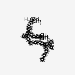 CC(C)(C)c1ccc(-c2ccc3cc4c5cc6c7ccccc7n(-c7ccc(-c8cccc(-c9ccc(-c%10ccc%11cc%12c%13cc%14c%15ccccc%15n(-c%15ccccc%15)c%14c%14c%15cc%16ccc(-c%17ccc(-c%18ccccc%18)cc%17)cc%16cc%15n(c%12cc%11c%10)c%13%14)cc9)c8)cc7)c6c6c7cc8ccc(-c9ccc(C(C)(C)C)cc9)cc8cc7n(c4cc3c2)c56)cc1